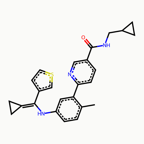 Cc1ccc(NC(=C2CC2)c2ccsc2)cc1-c1ccc(C(=O)NCC2CC2)cn1